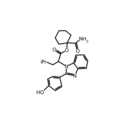 CC(C)CC(C(=O)OC1(C(N)=O)CCCCC1)n1c(-c2ccc(O)cc2)nc2ccccc21